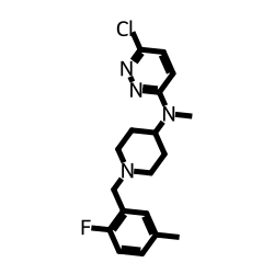 Cc1ccc(F)c(CN2CCC(N(C)c3ccc(Cl)nn3)CC2)c1